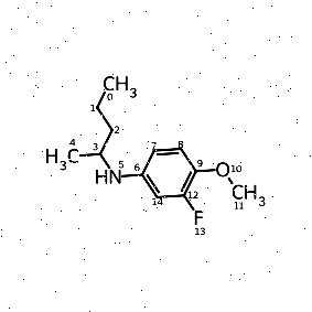 CCCC(C)Nc1ccc(OC)c(F)c1